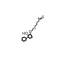 Oc1c(OCCSCCCCN=C=S)cccc1-c1ccccc1